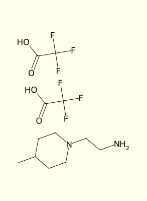 CC1CCN(CCN)CC1.O=C(O)C(F)(F)F.O=C(O)C(F)(F)F